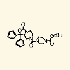 CC(C)(C)OC(=O)N1CCN(C(=O)N2CCN3C(=O)OC(c4ccccc4)(c4ccccc4)C3C2)CC1